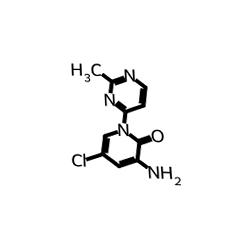 Cc1nccc(-n2cc(Cl)cc(N)c2=O)n1